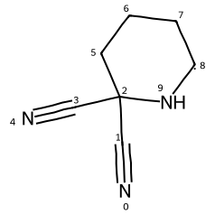 N#CC1(C#N)CCC[CH]N1